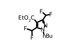 CCCCn1nc(C(F)F)c(C(=O)OCC)c1C(F)F